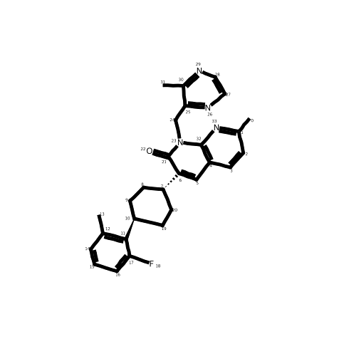 Cc1ccc2cc([C@H]3CC[C@H](c4c(C)cccc4F)CC3)c(=O)n(Cc3nccnc3C)c2n1